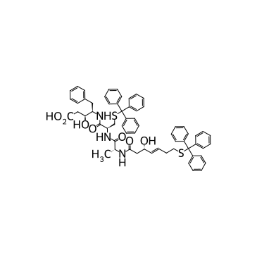 C[C@@H](NC(=O)C[C@H](O)/C=C/CCSC(c1ccccc1)(c1ccccc1)c1ccccc1)C(=O)N[C@H](CSC(c1ccccc1)(c1ccccc1)c1ccccc1)C(=O)N[C@H](Cc1ccccc1)[C@@H](O)CC(=O)O